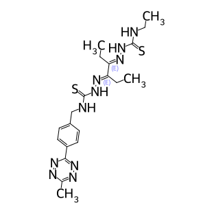 CCNC(=S)N/N=C(CC)/C(CC)=N/NC(=S)NCc1ccc(-c2nnc(C)nn2)cc1